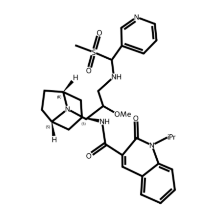 COC(CNC(c1cccnc1)S(C)(=O)=O)CN1[C@@H]2CC[C@H]1C[C@H](NC(=O)c1cc3ccccc3n(C(C)C)c1=O)C2